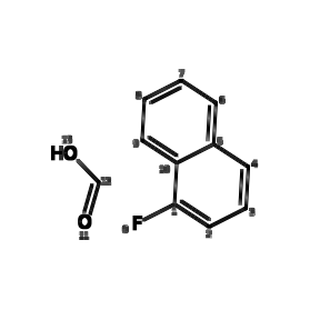 Fc1cccc2ccccc12.O=CO